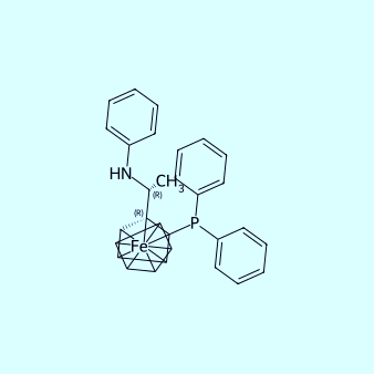 C[C@@H](Nc1ccccc1)[C@@]12[CH]3[CH]4[CH]5[C]1(P(c1ccccc1)c1ccccc1)[Fe]45321678[CH]2[CH]1[CH]6[CH]7[CH]28